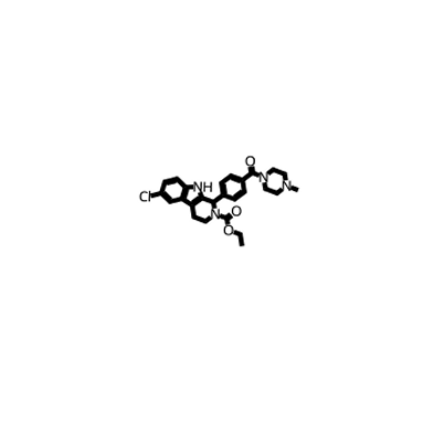 CCOC(=O)N1CCc2c([nH]c3ccc(Cl)cc23)C1c1ccc(C(=O)N2CCN(C)CC2)cc1